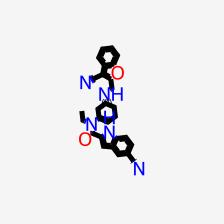 CCN(C(=O)c1cc2cc(C#N)ccc2[nH]1)C1=CCC[C@@H](NCc2oc3ccccc3c2C#N)C1